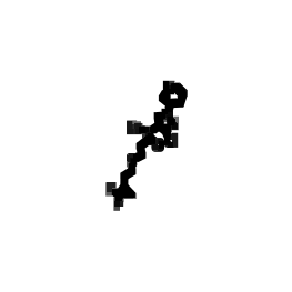 CCN(C(=O)CCSCCC1CC1(F)F)c1cn(-c2cccnc2)nc1Cl